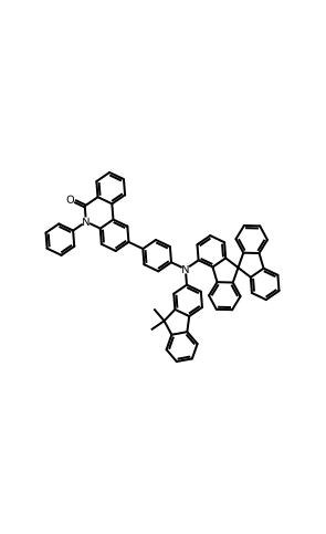 CC1(C)c2ccccc2-c2ccc(N(c3ccc(-c4ccc5c(c4)c4ccccc4c(=O)n5-c4ccccc4)cc3)c3cccc4c3-c3ccccc3C43c4ccccc4-c4ccccc43)cc21